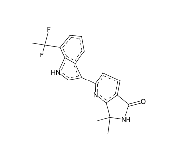 CC(F)(F)c1cccc2c(-c3ccc4c(n3)C(C)(C)NC4=O)c[nH]c12